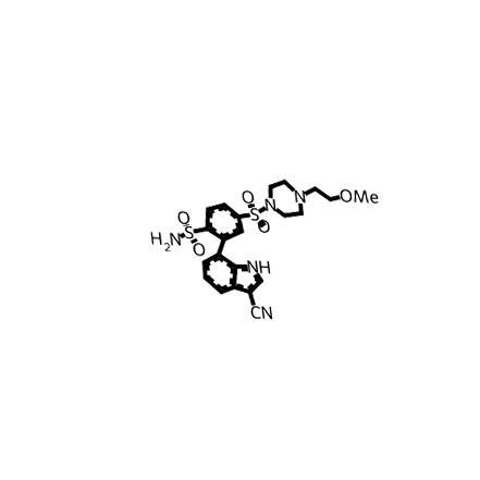 COCCN1CCN(S(=O)(=O)c2ccc(S(N)(=O)=O)c(-c3cccc4c(C#N)c[nH]c34)c2)CC1